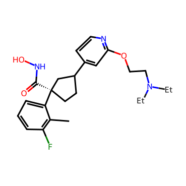 CCN(CC)CCOc1cc(C2CC[C@@](C(=O)NO)(c3cccc(F)c3C)C2)ccn1